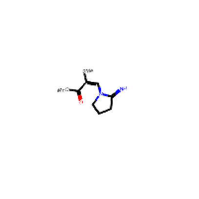 COC(=O)C(=CN1CCCC1=N)OC